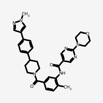 Cc1ccc(C(=O)N2CCC(c3ccc(-c4cnn(C)c4)cc3)CC2)cc1NC(=O)c1cnc(N2CCOCC2)nc1